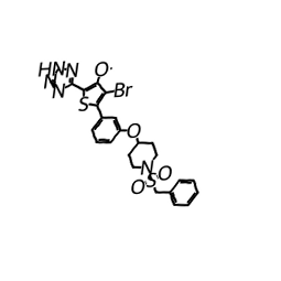 [O]c1c(-c2nn[nH]n2)sc(-c2cccc(OC3CCN(S(=O)(=O)Cc4ccccc4)CC3)c2)c1Br